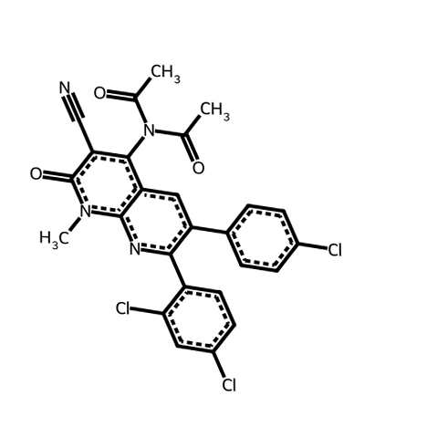 CC(=O)N(C(C)=O)c1c(C#N)c(=O)n(C)c2nc(-c3ccc(Cl)cc3Cl)c(-c3ccc(Cl)cc3)cc12